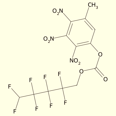 Cc1cc(OC(=O)OCC(F)(F)C(F)(F)C(F)(F)C(F)F)c([N+](=O)[O-])c([N+](=O)[O-])c1[N+](=O)[O-]